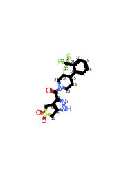 O=C(c1n[nH]c2c1CS(=O)(=O)C2)N1CCC(c2ccccc2C(F)(F)F)CC1